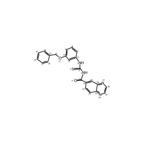 O=C(NC(=S)Nc1cccc(OCc2ccccc2)c1)c1ccc2nccnc2c1